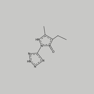 CCc1c(C)[nH]n(-c2nn[nH]n2)c1=O